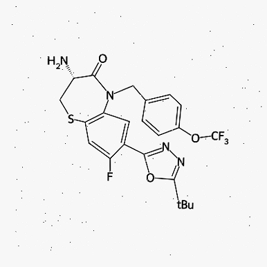 CC(C)(C)c1nnc(-c2cc3c(cc2F)SC[C@H](N)C(=O)N3Cc2ccc(OC(F)(F)F)cc2)o1